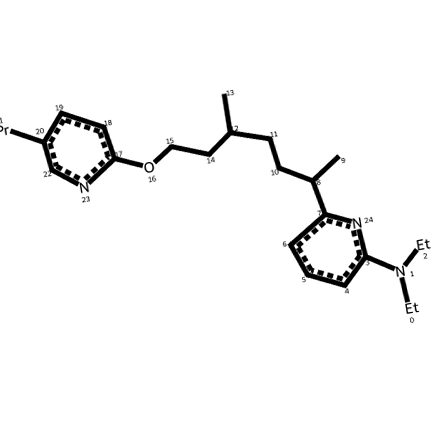 CCN(CC)c1cccc(C(C)CCC(C)CCOc2ccc(C(C)C)cn2)n1